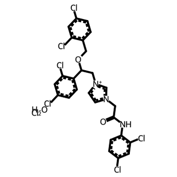 O.O=C(Cn1cc[n+](CC(OCc2ccc(Cl)cc2Cl)c2ccc(Cl)cc2Cl)c1)Nc1ccc(Cl)cc1Cl.[Cl-]